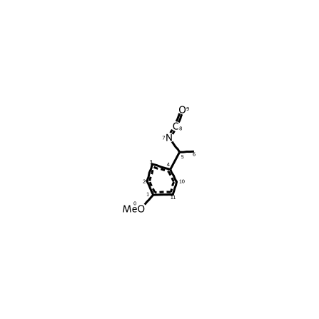 COc1ccc(C(C)N=C=O)cc1